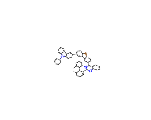 Cc1ccccc1-c1c(C)cccc1-c1nc(-c2ccc3sc4ccc(-c5ccc6c(c5)c5ccccc5n6-c5ccccc5)cc4c3c2)c2ccccc2n1